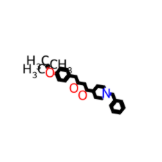 CC(C)(C)Oc1ccc(CC(=O)CC(=O)C2CCN(Cc3ccccc3)CC2)cc1